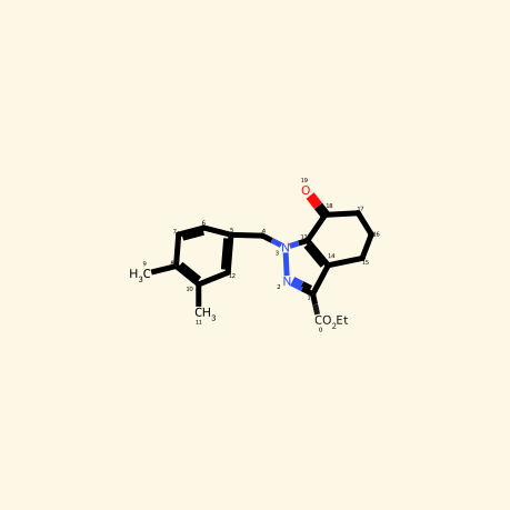 CCOC(=O)c1nn(Cc2ccc(C)c(C)c2)c2c1CCCC2=O